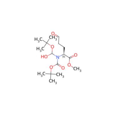 COC(=O)[C@H](CCC=O)N(C(=O)OC(C)(C)C)C(O)OC(C)(C)C